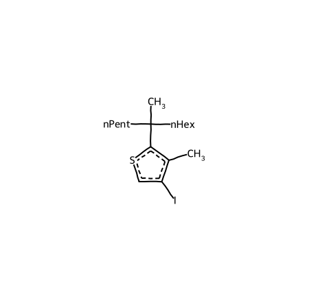 CCCCCCC(C)(CCCCC)c1scc(I)c1C